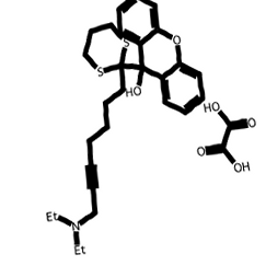 CCN(CC)CC#CCCCCC1(C2(O)c3ccccc3Oc3ccccc32)SCCCS1.O=C(O)C(=O)O